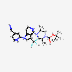 CC1CN(c2nccc3c2c(C(F)(F)F)cn3-c2cc(C#N)ccn2)C(C)CN1C(=O)OC(C)(C)C